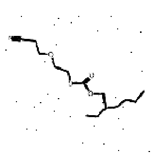 CCCCC(CC)COC(=O)OCCOCCC#N